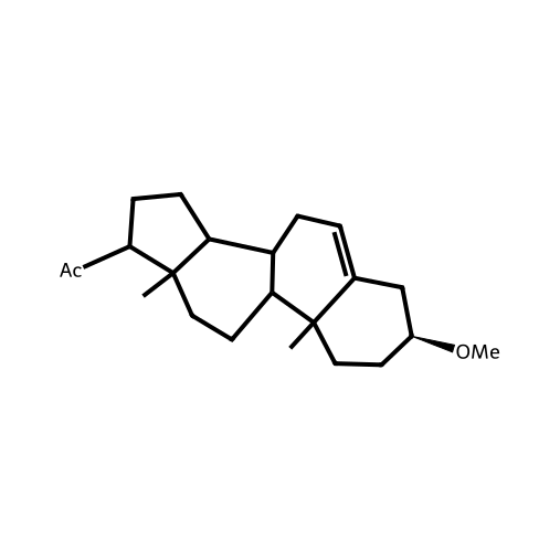 CO[C@H]1CCC2(C)C(=CCC3C2CCC2(C)C(C(C)=O)CCC32)C1